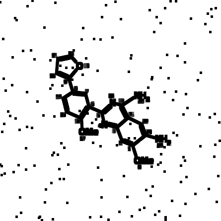 COc1cc2nc(-c3cc(-c4ccco4)ccc3OC)nc(N)c2cc1N